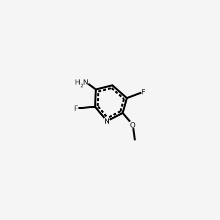 COc1nc(F)c(N)cc1F